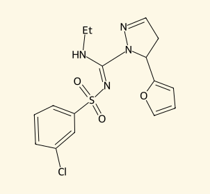 CCN/C(=N\S(=O)(=O)c1cccc(Cl)c1)N1N=CCC1c1ccco1